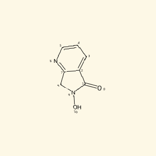 O=C1c2cccnc2CN1O